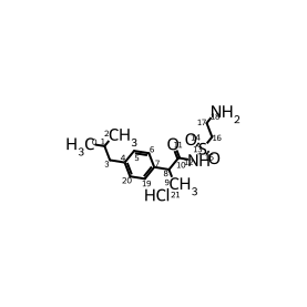 CC(C)Cc1ccc(C(C)C(=O)NS(=O)(=O)CCN)cc1.Cl